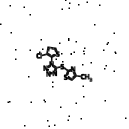 Cc1csc(Sc2nnnn2-c2sccc2Cl)n1